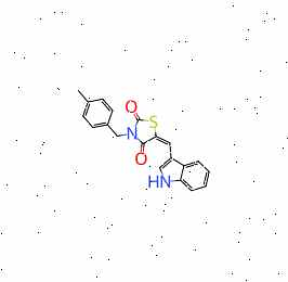 Cc1ccc(CN2C(=O)SC(=Cc3c[nH]c4ccccc34)C2=O)cc1